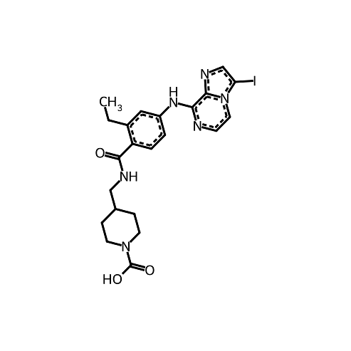 CCc1cc(Nc2nccn3c(I)cnc23)ccc1C(=O)NCC1CCN(C(=O)O)CC1